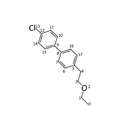 CCOCCc1ccc(-c2ccc(Cl)cc2)cc1